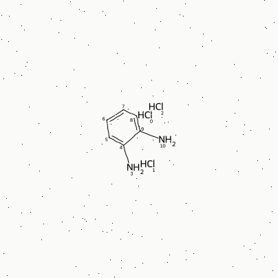 Cl.Cl.Cl.Nc1ccccc1N